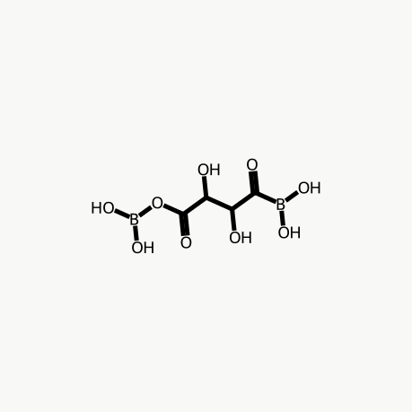 O=C(OB(O)O)C(O)C(O)C(=O)B(O)O